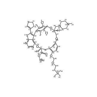 Cc1c(Cl)c2c(Cl)c(C)c1-c1c(C3=CCCC3)sc3ncnc(c13)O[C@@H](C(=O)OC(C)(C)C)Cc1cc(ccc1OCOCC[Si](C)(C)C)OC[C@@H](CN1CCN(C)CC1)O2